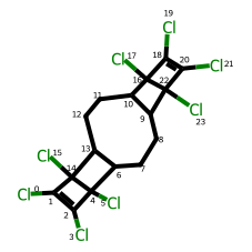 ClC1=C(Cl)C2(Cl)C3CCC4C(CCC3C12Cl)C1(Cl)C(Cl)=C(Cl)C41Cl